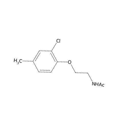 CC(=O)NCCOc1ccc(C)cc1Cl